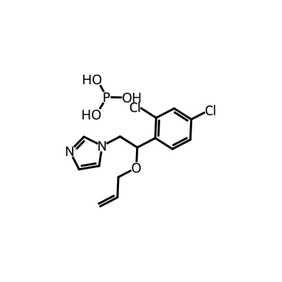 C=CCOC(Cn1ccnc1)c1ccc(Cl)cc1Cl.OP(O)O